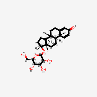 C[C@]12C=CC(=O)C=C1CC[C@@H]1[C@@H]2CC[C@@]2(C)[C@H]1CC[C@]2(C)OC1O[C@H](CO)[C@@H](O)[C@H](O)[C@H]1O